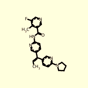 C/C=C(/c1ccc(NC(=O)c2cncc(F)c2C)nc1)c1ccc(N2CCCC2)nc1